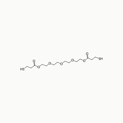 O=C(CCS)OCCOCCOCCOCCOC(=O)CCS